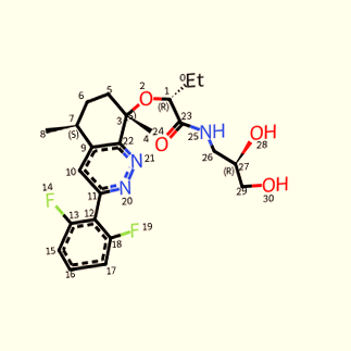 CC[C@@H](O[C@@]1(C)CC[C@H](C)c2cc(-c3c(F)cccc3F)nnc21)C(=O)NC[C@@H](O)CO